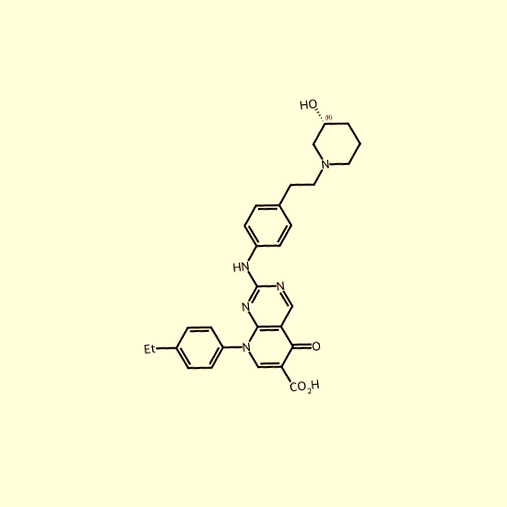 CCc1ccc(-n2cc(C(=O)O)c(=O)c3cnc(Nc4ccc(CCN5CCC[C@@H](O)C5)cc4)nc32)cc1